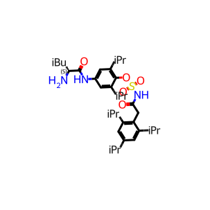 CCC(C)[C@H](N)C(=O)Nc1cc(C(C)C)c(OS(=O)(=O)NC(=O)Cc2c(C(C)C)cc(C(C)C)cc2C(C)C)c(C(C)C)c1